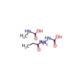 CCC(N)=O.CNC(=O)O.CNC(=O)O